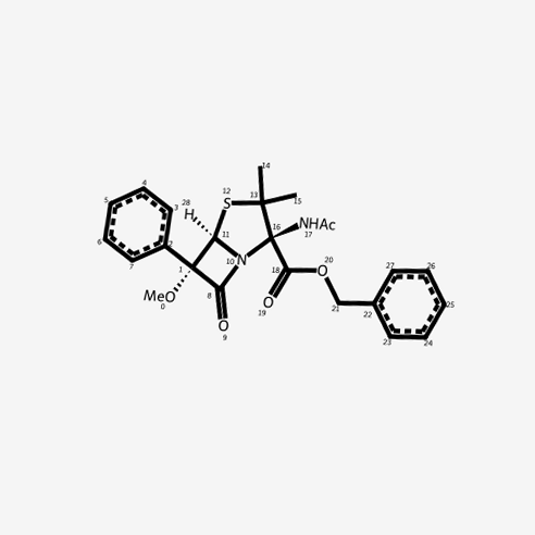 CO[C@@]1(c2ccccc2)C(=O)N2[C@@H]1SC(C)(C)[C@]2(NC(C)=O)C(=O)OCc1ccccc1